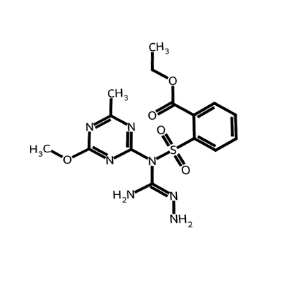 CCOC(=O)c1ccccc1S(=O)(=O)N(C(N)=NN)c1nc(C)nc(OC)n1